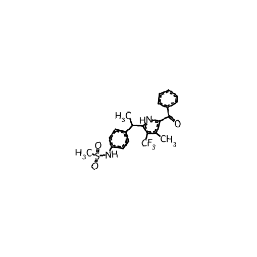 Cc1c(C(=O)c2ccccc2)[nH]c(C(C)c2ccc(NS(C)(=O)=O)cc2)c1C(F)(F)F